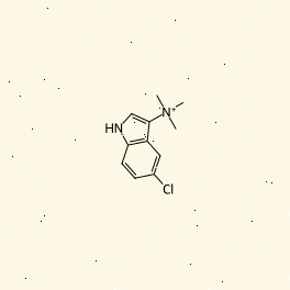 C[N+](C)(C)c1c[nH]c2ccc(Cl)cc12